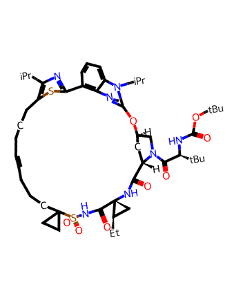 CC[C@@H]1C[C@@]12NC(=O)[C@@H]1C[C@H](CN1C(=O)[C@@H](NC(=O)OC(C)(C)C)C(C)(C)C)Oc1nc3c(cccc3n1C(C)C)-c1nc(C(C)C)c(s1)CCC/C=C/CCCC1(CC1)S(=O)(=O)NC2=O